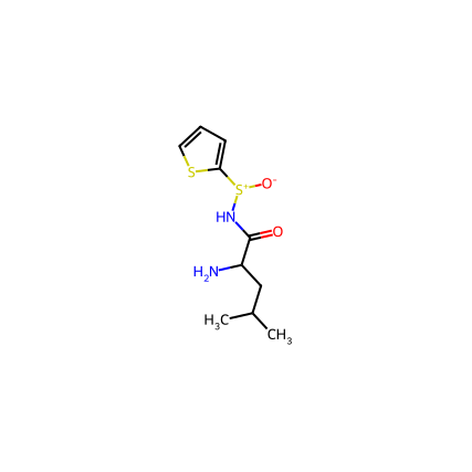 CC(C)CC(N)C(=O)N[S+]([O-])c1cccs1